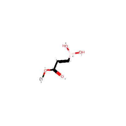 CCOC(=O)C=CB(O)O